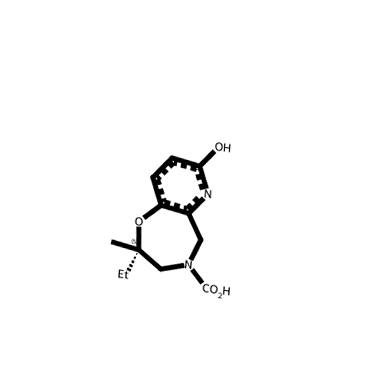 CC[C@@]1(C)CN(C(=O)O)Cc2nc(O)ccc2O1